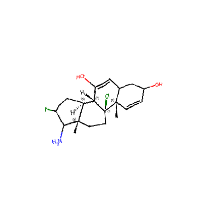 C[C@]12C=CC(O)CC1C=C(O)[C@H]1[C@@H]3CC(F)C(N)[C@@]3(C)CC[C@]12Cl